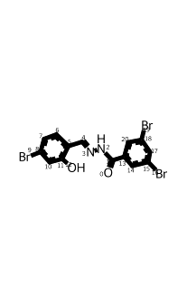 O=C(NN=Cc1ccc(Br)cc1O)c1cc(Br)cc(Br)c1